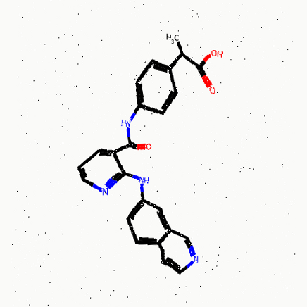 CC(C(=O)O)c1ccc(NC(=O)c2cccnc2Nc2ccc3ccncc3c2)cc1